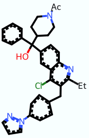 CCc1nc2ccc(C(O)(c3ccccc3)C3CCN(C(C)=O)CC3)cc2c(Cl)c1Cc1ccc(-n2cccn2)cc1